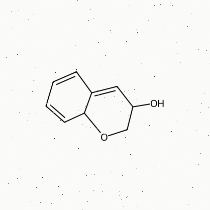 OC1C=C2[C]=CC=CC2OC1